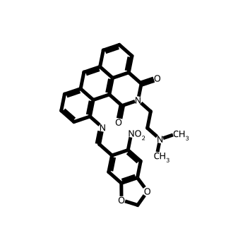 CN(C)CCN1C(=O)c2cccc3cc4cccc(N=Cc5cc6c(cc5[N+](=O)[O-])OCO6)c4c(c23)C1=O